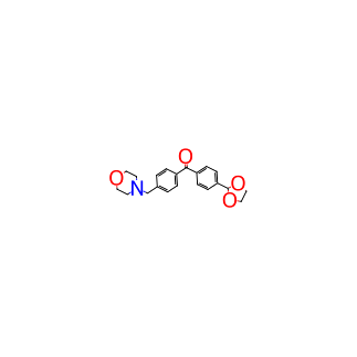 O=C(c1ccc(CN2CCOCC2)cc1)c1ccc(C2OCCO2)cc1